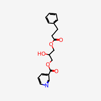 O=C(CCc1ccccc1)OCC(O)COC(=O)c1cccnc1